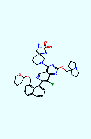 O=S1(=O)NCC2(CCCN(c3nc(OCC45CCCN4CCC5)nc4c(F)c(-c5cccc6cccc(COC7CCCCO7)c56)ncc34)C2)N1